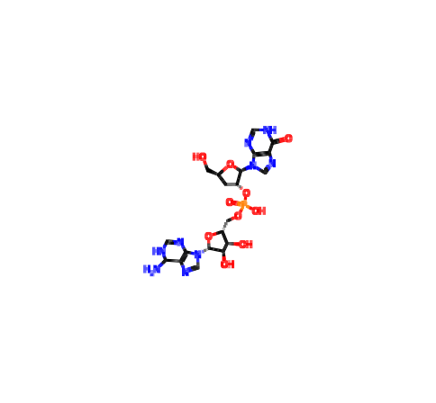 NC1NC=Nc2c1ncn2[C@@H]1O[C@H](COP(=O)(O)O[C@@H]2C[C@@H](CO)O[C@H]2n2cnc3c(=O)[nH]cnc32)[C@@H](O)[C@H]1O